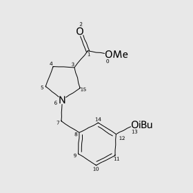 COC(=O)C1CCN(Cc2cccc(OCC(C)C)c2)C1